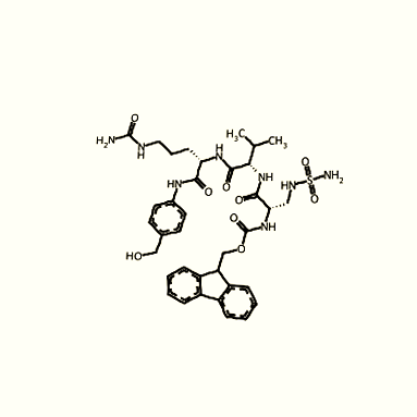 CC(C)[C@H](NC(=O)[C@H](CNS(N)(=O)=O)NC(=O)OCC1c2ccccc2-c2ccccc21)C(=O)N[C@@H](CCCNC(N)=O)C(=O)Nc1ccc(CO)cc1